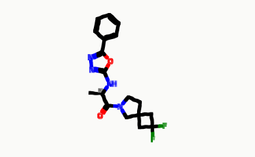 C[C@@H](Nc1nnc(-c2ccccc2)o1)C(=O)N1CCC2(C1)CC(F)(F)C2